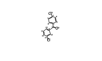 O=C(c1ccc(Cl)cc1)c1cccc(Cl)c1